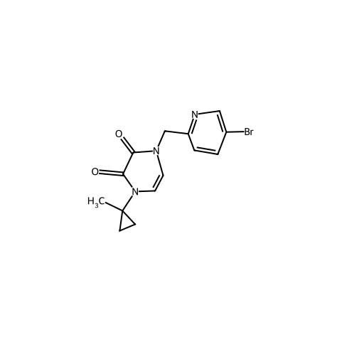 CC1(n2ccn(Cc3ccc(Br)cn3)c(=O)c2=O)CC1